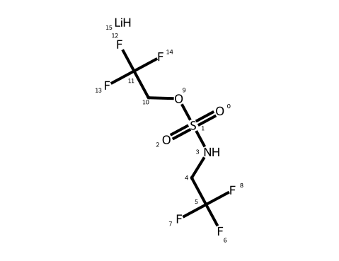 O=S(=O)(NCC(F)(F)F)OCC(F)(F)F.[LiH]